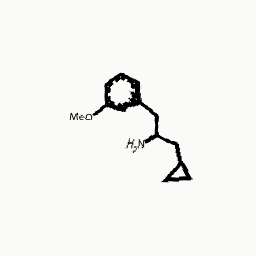 COc1cccc(CC(N)CC2CC2)c1